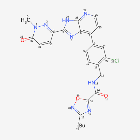 Cn1nc(-c2nc3c(-c4ccc(CNC(=O)c5nc(C(C)(C)C)no5)c(Cl)c4)ccnc3[nH]2)ccc1=O